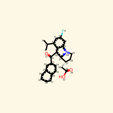 CC(C)c1cc(F)cc2c1c(C(=O)c1ccc3ccccc3c1)c1n2CC[C@@H]1CC(=O)O